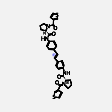 O=C(Nc1ccc(/C=C/c2ccc(NC(=O)[C@@H]3CCCN3C(=O)c3ccsc3)cc2)cc1)[C@@H]1CCCN1C(=O)c1ccsc1